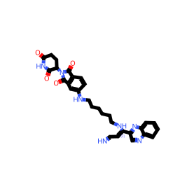 N=C/C=C(\NCCCCCCNc1ccc2c(c1)C(=O)N(C1CCC(=O)NC1=O)C2=O)c1cnc2ccccc2n1